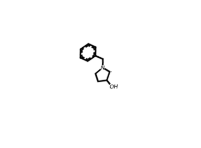 OC1[CH]N(Cc2ccccc2)CC1